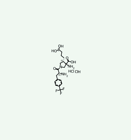 Cl.Cl.N[C@@H](Cc1ccc(C(F)(F)F)cc1)C(=O)N1C[C@H](CCCB(O)O)[C@](N)(C(=O)O)C1